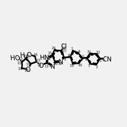 N#Cc1ccc(-c2ccc(-c3nc4nc(O[C@@H]5CO[C@H]6C5OC[C@H]6O)[nH]c4cc3Cl)cc2)cc1